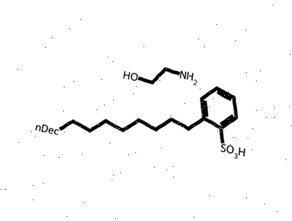 CCCCCCCCCCCCCCCCCCc1ccccc1S(=O)(=O)O.NCCO